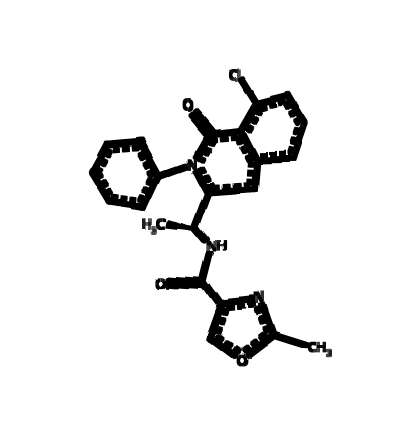 Cc1nc(C(=O)N[C@@H](C)c2cc3cccc(Cl)c3c(=O)n2-c2ccccc2)co1